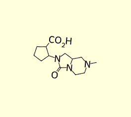 CN1CCN2C(=O)N(C3CCCC3C(=O)O)CC2C1